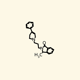 CC1c2ccccc2C(=O)N1CCCN1CC=C(c2ccccc2)CC1